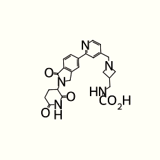 O=C(O)NCC1CN(Cc2ccnc(-c3ccc4c(c3)CN(C3CCC(=O)NC3=O)C4=O)c2)C1